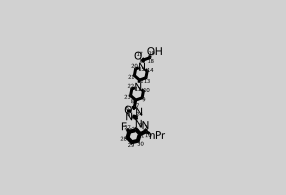 CCCc1nn(-c2noc(C3CCN(C4CCN(C(=O)CO)CC4)CC3)n2)c2c(F)cccc12